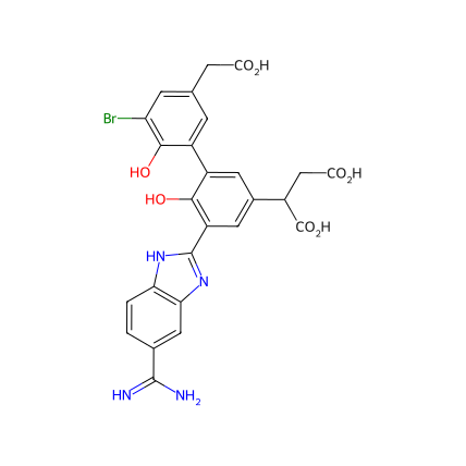 N=C(N)c1ccc2[nH]c(-c3cc(C(CC(=O)O)C(=O)O)cc(-c4cc(CC(=O)O)cc(Br)c4O)c3O)nc2c1